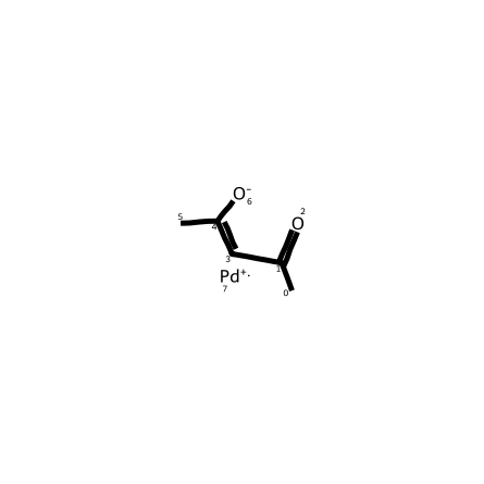 CC(=O)/C=C(/C)[O-].[Pd+]